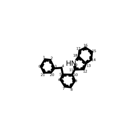 c1ccc(Cc2ccccc2-c2cc3ccccc3[nH]2)cc1